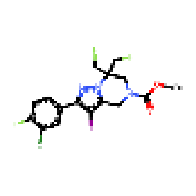 CC(C)(C)OC(=O)N1Cc2c(I)c(-c3ccc(F)c(Cl)c3)nn2C(CF)(CF)C1